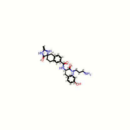 C=C1NC(=O)C2(CCc3cc(C(=O)N[C@H](Cc4ccc(O)cc4)C(=O)NCCCN)ccc3C2)N1